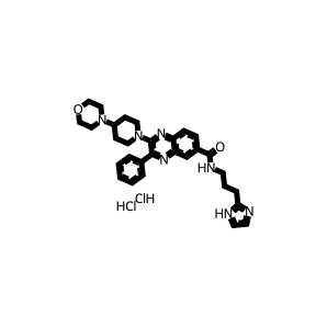 Cl.Cl.O=C(NCCCc1ncc[nH]1)c1ccc2nc(N3CCC(N4CCOCC4)CC3)c(-c3ccccc3)nc2c1